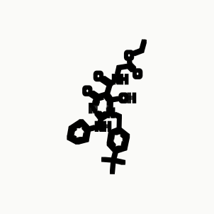 CCOC(=O)CNC(=O)c1c(O)n(Cc2ccc(C(C)(C)C)cc2)c(Nc2ccccc2)nc1=O